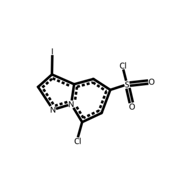 O=S(=O)(Cl)c1cc(Cl)n2ncc(I)c2c1